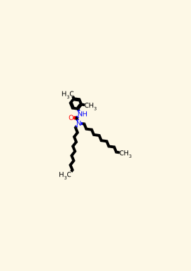 CCCCCCCCCCCN(CCCCCCCCCCC)C(=O)Nc1ccc(C)cc1C